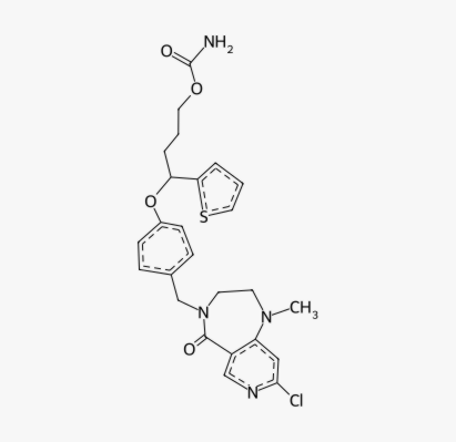 CN1CCN(Cc2ccc(OC(CCCOC(N)=O)c3cccs3)cc2)C(=O)c2cnc(Cl)cc21